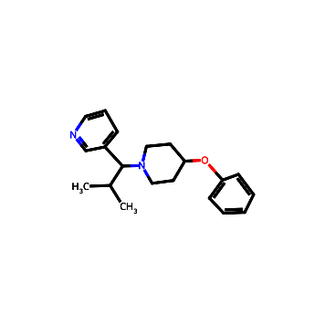 CC(C)C(c1cccnc1)N1CCC(Oc2ccccc2)CC1